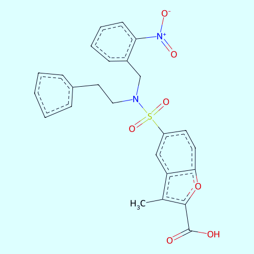 Cc1c(C(=O)O)oc2ccc(S(=O)(=O)N(CCc3ccccc3)Cc3ccccc3[N+](=O)[O-])cc12